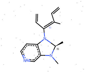 C=C/C(C)=C(\C=C)N1c2ccncc2N(C)[C@@H]1C